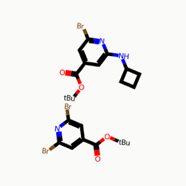 CC(C)(C)OC(=O)c1cc(Br)nc(Br)c1.CC(C)(C)OC(=O)c1cc(Br)nc(NC2CCC2)c1